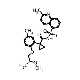 CO[C@H](C)COc1ccc(C)cc1C1(C(=O)NS(=O)(=O)c2cccc3nc(C)ccc23)CC1